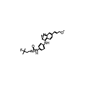 COC/C=C/c1ccc2c(Nc3ccc(NC(=O)NCCC(C)(C)F)cc3)cnnc2c1